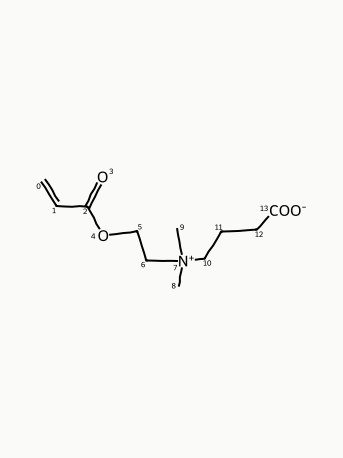 C=CC(=O)OCC[N+](C)(C)CCCC(=O)[O-]